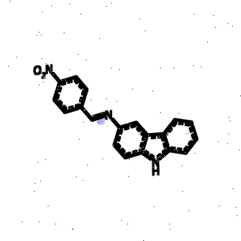 O=[N+]([O-])c1ccc(/C=N/c2ccc3[nH]c4ccccc4c3c2)cc1